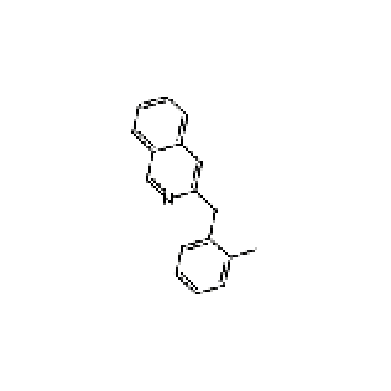 Cc1ccccc1Cc1cc2ccccc2cn1